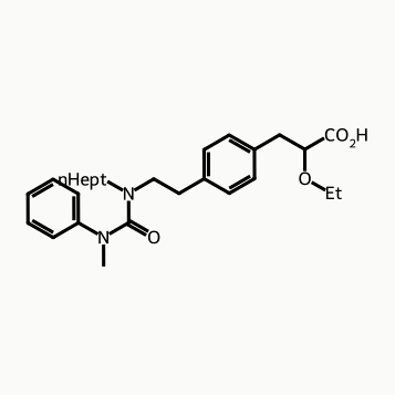 CCCCCCCN(CCc1ccc(CC(OCC)C(=O)O)cc1)C(=O)N(C)c1ccccc1